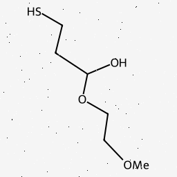 COCCOC(O)CCS